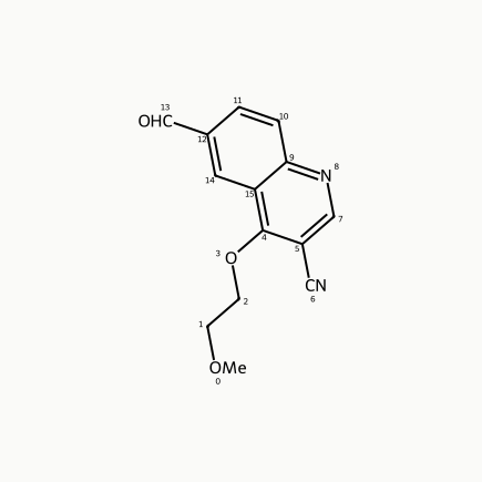 COCCOc1c(C#N)cnc2ccc(C=O)cc12